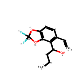 C=Cc1ccc2c(c1C(O)CCC)OC(F)(F)O2